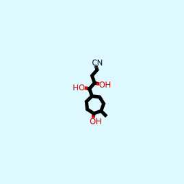 CC1CCC(C(O)C(O)CCC#N)CCC1O